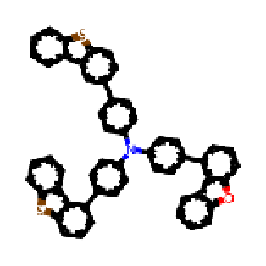 c1ccc2c(c1)oc1cccc(-c3ccc(N(c4ccc(-c5ccc6sc7ccccc7c6c5)cc4)c4ccc(-c5cccc6sc7ccccc7c56)cc4)cc3)c12